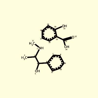 CNC(C)C(O)c1ccccc1.O=C(O)c1ccccc1O